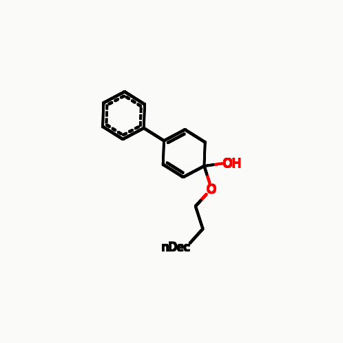 CCCCCCCCCCCCOC1(O)C=CC(c2ccccc2)=CC1